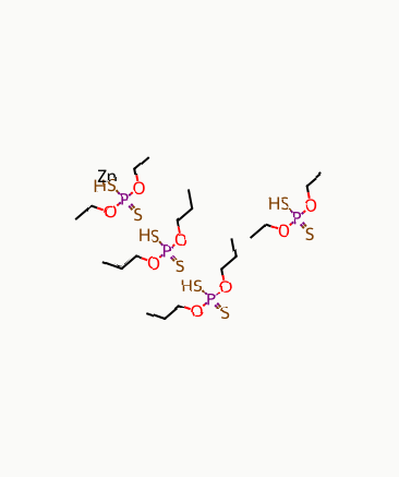 CCCOP(=S)(S)OCCC.CCCOP(=S)(S)OCCC.CCOP(=S)(S)OCC.CCOP(=S)(S)OCC.[Zn]